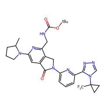 CC1CCCN1c1cc2c(c(CNC(=O)OC(C)(C)C)n1)CN(c1cccc(-c3nncn3C3(C(F)(F)F)CC3)n1)C2=O